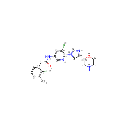 O=C(Cc1cccc(C(F)(F)F)c1F)Nc1cnc(-n2cnc([C@H]3CNCCO3)c2)c(F)c1